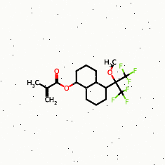 C=C(C)C(=O)OC1CCCC2C1CCCC2C(OC)(C(F)(F)F)C(F)(F)F